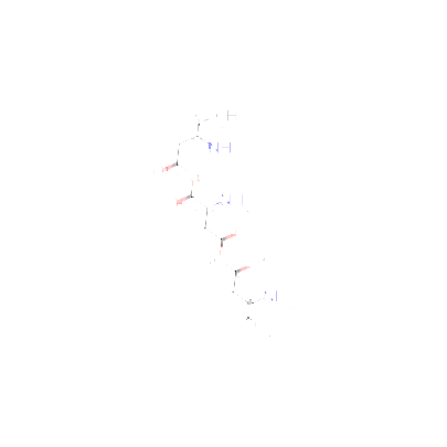 N[C@@H](CC(=O)OC(=O)C[C@H](N)C(=O)OC(=O)C[C@H](N)C(=O)O)C(=O)O